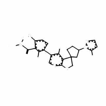 CN(C)C(=O)c1c(N)ccc(-c2cnc3c(c2Cl)C2(CCC(n4nccc4C(F)(F)F)C2)CN3)c1F